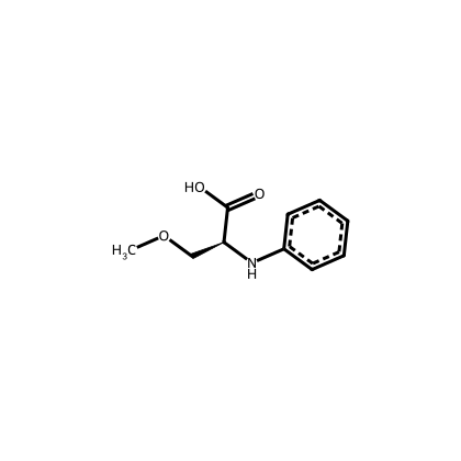 COC[C@H](Nc1ccccc1)C(=O)O